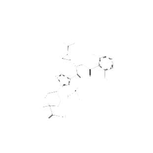 CC(C)[C@@H]1C[C@@H]1N(CC(=O)c1c(Cl)cncc1Cl)C(=O)c1cnn(C2CCC(C)(C(=O)O)CC2)c1C(F)(F)F